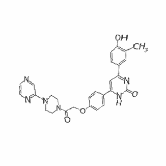 Cc1cc(-c2cc(-c3ccc(OCC(=O)N4CCN(c5cnccn5)CC4)cc3)[nH]c(=O)n2)ccc1O